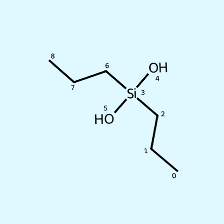 CCC[Si](O)(O)CCC